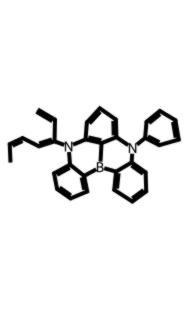 C=C/C(=C\C=C/C)N1c2ccccc2B2c3ccccc3N(c3ccccc3)c3cccc1c32